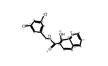 O=C(NCc1cc(Cl)cc(Cl)c1)c1ccc2cccnc2c1O